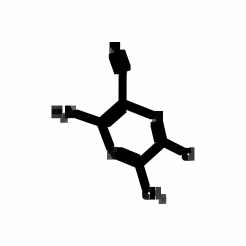 Cc1nc(N)c(C#N)nc1Cl